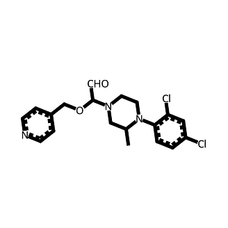 CC1CN(C(C=O)OCc2ccncc2)CCN1c1ccc(Cl)cc1Cl